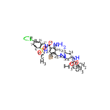 CCS(=O)(=O)c1ccc(Cl)cc1CNC(=O)c1cc(Br)c(CN2CCC(NC(=O)OC(C)(C)C)C2)cc1N